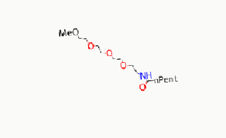 CCCCCC(=O)NCCOCCOCCOCCOC